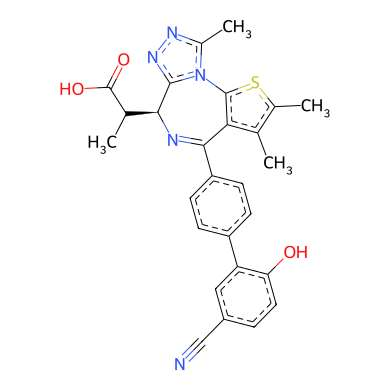 Cc1sc2c(c1C)C(c1ccc(-c3cc(C#N)ccc3O)cc1)=N[C@@H](C(C)C(=O)O)c1nnc(C)n1-2